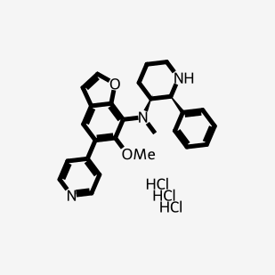 COc1c(-c2ccncc2)cc2ccoc2c1N(C)[C@H]1CCCN[C@H]1c1ccccc1.Cl.Cl.Cl